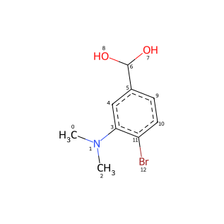 CN(C)c1cc(C(O)O)ccc1Br